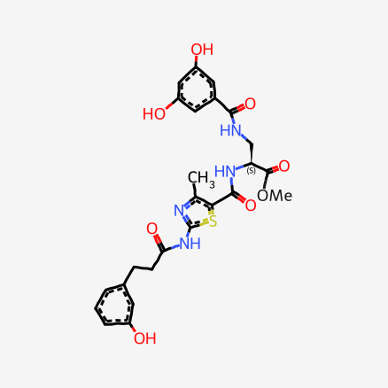 COC(=O)[C@H](CNC(=O)c1cc(O)cc(O)c1)NC(=O)c1sc(NC(=O)CCc2cccc(O)c2)nc1C